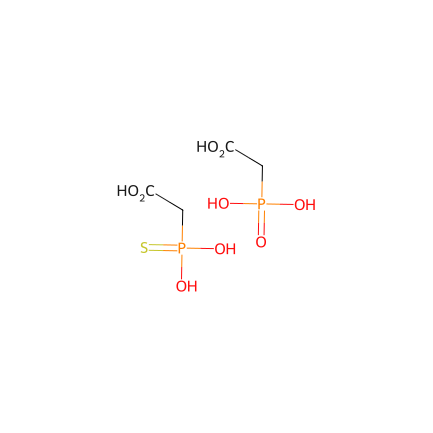 O=C(O)CP(=O)(O)O.O=C(O)CP(O)(O)=S